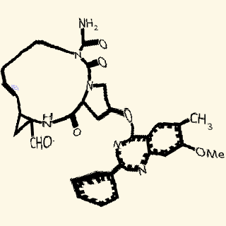 COc1cc2nc(-c3ccccc3)nc(OC3CC4C(=O)NC5([C]=O)CC5/C=C/CCCCN(C(N)=O)C(=O)N4C3)c2cc1C